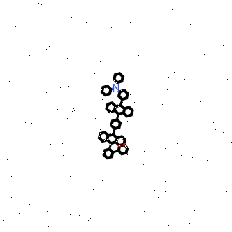 c1ccc(-c2ccccc2-c2c3ccccc3c(-c3ccc(-c4c5ccccc5c(-c5cccc(N(c6ccccc6)c6ccccc6)c5)c5ccccc45)cc3)c3ccccc23)cc1